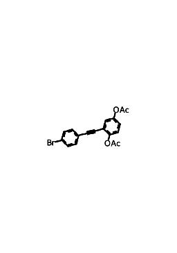 CC(=O)Oc1ccc(OC(C)=O)c(C#Cc2ccc(Br)cc2)c1